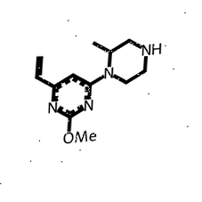 C=Cc1cc(N2CCNCC2C)nc(OC)n1